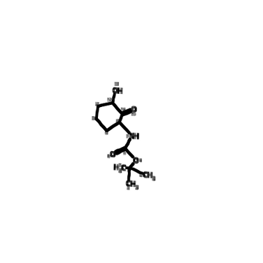 CC(C)(C)OC(=O)NC1CCCC(O)C1=O